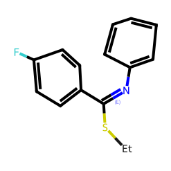 CCS/C(=N/c1ccccc1)c1ccc(F)cc1